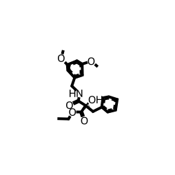 CCOC(=O)[C@@](O)(Cc1ccccc1)C(=O)NCc1cc(OC)cc(OC)c1